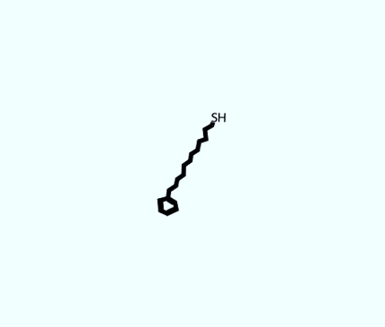 SCCCCCCCCCCCCc1ccccc1